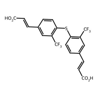 O=C(O)C=Cc1ccc(Sc2ccc(C=CC(=O)O)cc2C(F)(F)F)c(C(F)(F)F)c1